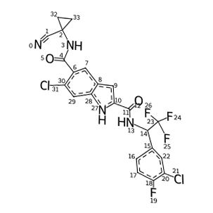 N#CC1(NC(=O)c2cc3cc(C(=O)NC(c4ccc(F)c(Cl)c4)C(F)(F)F)[nH]c3cc2Cl)CC1